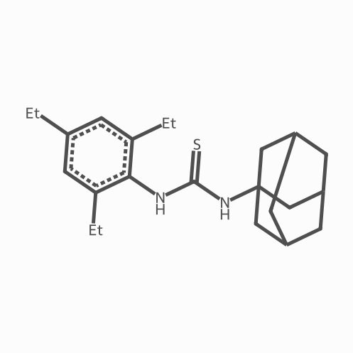 CCc1cc(CC)c(NC(=S)NC23CC4CC(CC(C4)C2)C3)c(CC)c1